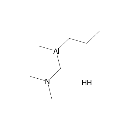 CC[CH2][Al]([CH3])[CH2]N(C)C.[HH]